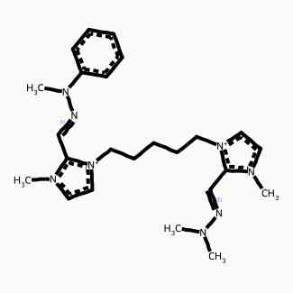 CN(C)/N=C/c1n(C)cc[n+]1CCCCC[n+]1ccn(C)c1/C=N/N(C)c1ccccc1